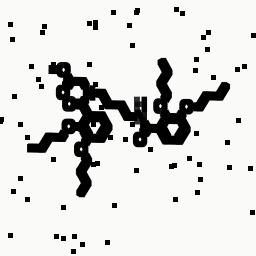 CCCCOc1cccc(C(=O)NCCCCN(CC(=O)OC)C(=O)c2cccc(OCCCC)c2OCCCC)c1OCCCC